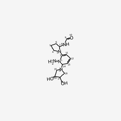 NN1C(N2CCCC2NC=O)=CC=CC1N1CC(O)C(O)C1